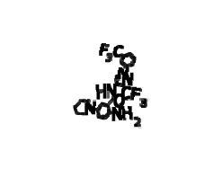 Nc1ccc(N2CCCCC2)cc1C(=O)Nc1cn(-c2cccc(C(F)(F)F)c2)nc1C(F)(F)F